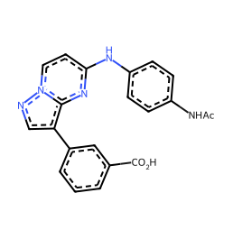 CC(=O)Nc1ccc(Nc2ccn3ncc(-c4cccc(C(=O)O)c4)c3n2)cc1